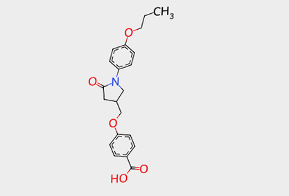 CCCOc1ccc(N2CC(COc3ccc(C(=O)O)cc3)CC2=O)cc1